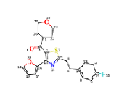 O=C(c1sc(CCC2=CC=C(F)CC2)nc1-c1ccco1)C1CCOCC1